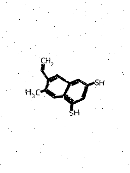 C=Cc1cc2cc(S)cc(S)c2cc1C